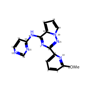 COc1cccc(-c2nc(Nc3ccncn3)c3cccn3n2)n1